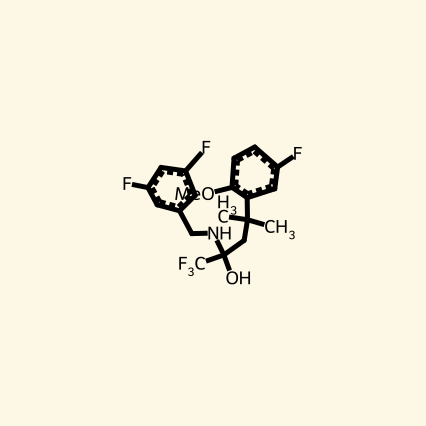 COc1ccc(F)cc1C(C)(C)CC(O)(NCc1cc(F)cc(F)c1)C(F)(F)F